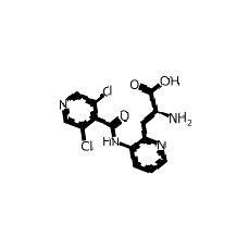 N[C@@H](Cc1ncccc1NC(=O)c1c(Cl)cncc1Cl)C(=O)O